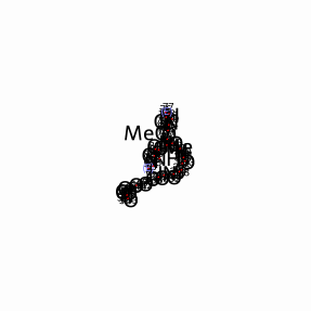 C/C=C1\CC2CNc3cc(OCc4cc(OCCN5CCN(C(=O)CCC(C)(C)SCC(=O)NCCOCCOCCOCCOCCC(=O)ON6C(=O)CCC6=O)CC5)cc(COc5cc6c(cc5OC)C(=O)N5C/C(=C/C)C[C@H]5C=N6)n4)c(OC)cc3C(=O)N2C1